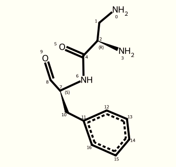 NC[C@@H](N)C(=O)N[C@H](C=O)Cc1ccccc1